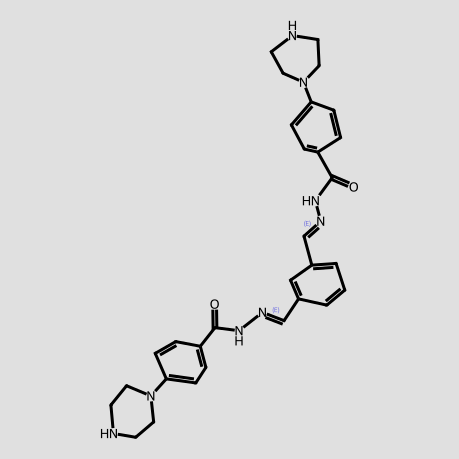 O=C(N/N=C/c1cccc(/C=N/NC(=O)c2ccc(N3CCNCC3)cc2)c1)c1ccc(N2CCNCC2)cc1